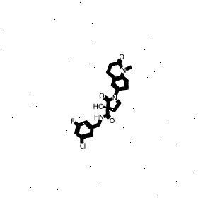 CN1C(=O)CCc2cc(N3CC[C@](O)(C(=O)NCc4cc(F)cc(Cl)c4)C3=O)ccc21